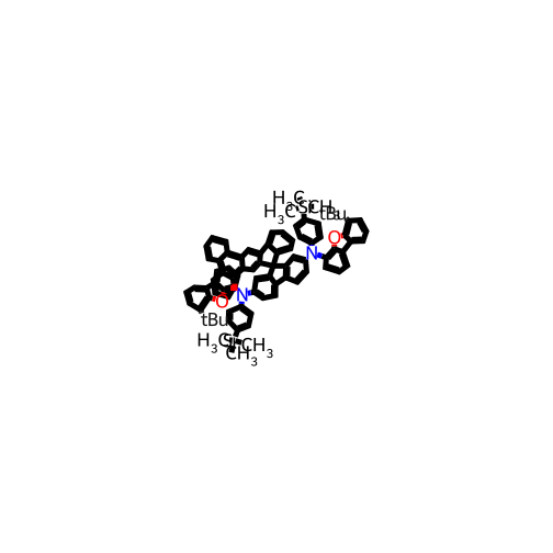 CC(C)(C)c1cccc2c1oc1c(N(c3ccc([Si](C)(C)C)cc3)c3ccc4c(c3)C3(c5ccccc5-c5cc6c7ccccc7c7ccccc7c6cc53)c3cc(N(c5ccc([Si](C)(C)C)cc5)c5cccc6c5oc5c(C(C)(C)C)cccc56)ccc3-4)cccc12